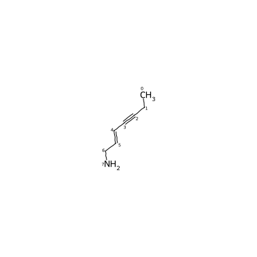 CCC#CC=CCN